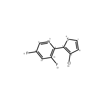 Fc1cnc(-c2sccc2Cl)c(F)c1